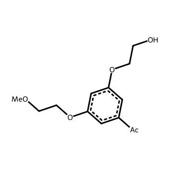 COCCOc1cc(OCCO)cc(C(C)=O)c1